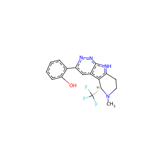 CN1CCc2[nH]c3nnc(-c4ccccc4O)cc3c2[C@H]1C(F)(F)F